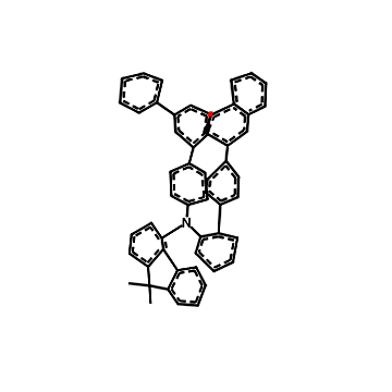 CC1(C)c2ccccc2-c2c(N(c3ccc(-c4cccc(-c5ccccc5)c4)cc3)c3ccccc3-c3ccc(-c4ccc5ccccc5c4)cc3)cccc21